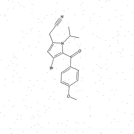 COc1ccc(C(=O)c2c(Br)cc(CC#N)n2C(C)C)cc1